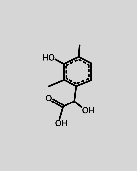 Cc1ccc(C(O)C(=O)O)c(C)c1O